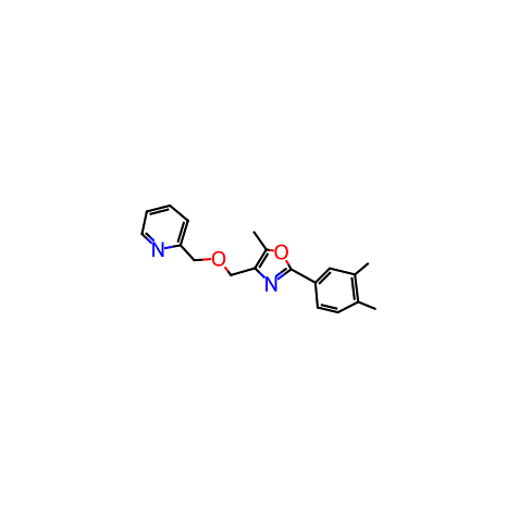 Cc1ccc(-c2nc(COCc3ccccn3)c(C)o2)cc1C